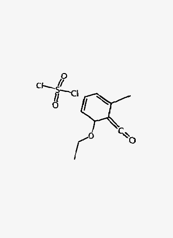 CCOC1C=CC=C(C)C1=C=O.O=S(=O)(Cl)Cl